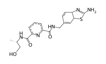 C[C@@H](CO)NC(=O)c1cccc(C(=O)NCC2=CC3SC(N)=NC3C=C2)n1